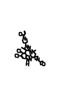 C=CC(=O)N1CCC(n2nc(N3CCC4(CN(C5COC5)C4)CC3(C)C)c(-c3c(Cl)c(Cl)cc4[nH]ncc34)c2C)CC1